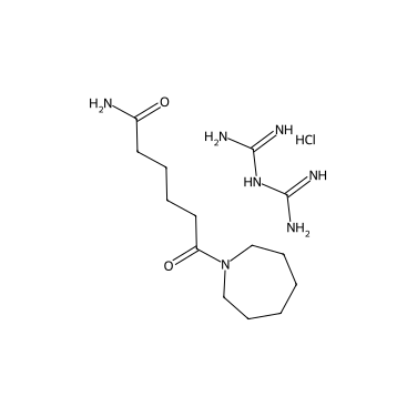 Cl.N=C(N)NC(=N)N.NC(=O)CCCCC(=O)N1CCCCCC1